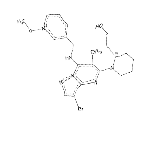 CO[n+]1cccc(CNc2c(C)c(N3CCCC[C@H]3CCO)nc3c(Br)cnn23)c1